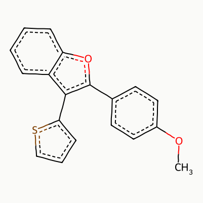 COc1ccc(-c2oc3ccccc3c2-c2cccs2)cc1